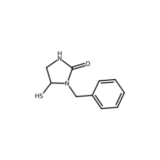 O=C1NCC(S)N1Cc1ccccc1